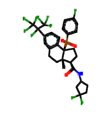 O=C(NC1CCC(F)(F)C1)[C@@H]1CC[C@@]2(S(=O)(=O)c3ccc(F)cc3)c3ccc(C(F)(C(F)(F)F)C(F)(F)F)cc3CC[C@@H]12